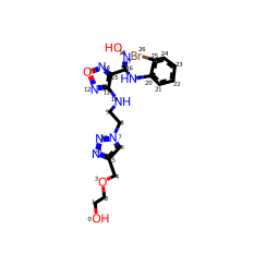 OCCOCc1cn(CCNc2nonc2C(=NO)Nc2ccccc2Br)nn1